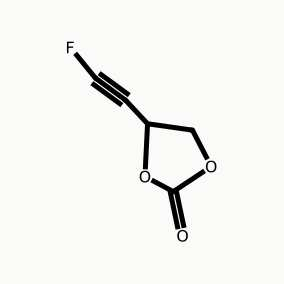 O=C1OCC(C#CF)O1